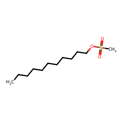 [CH2]CCCCCCCCCCOS(C)(=O)=O